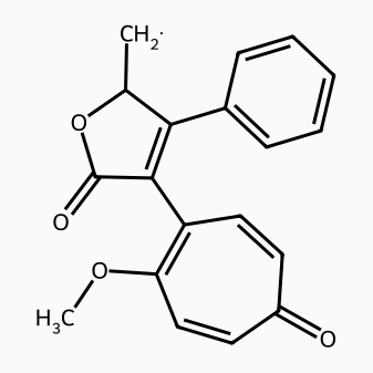 [CH2]C1OC(=O)C(c2ccc(=O)ccc2OC)=C1c1ccccc1